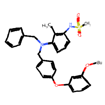 CCC(C)Oc1cccc(Oc2ccc(CN(Cc3ccccc3)c3cccc(NS(C)(=O)=O)c3C)cc2)c1